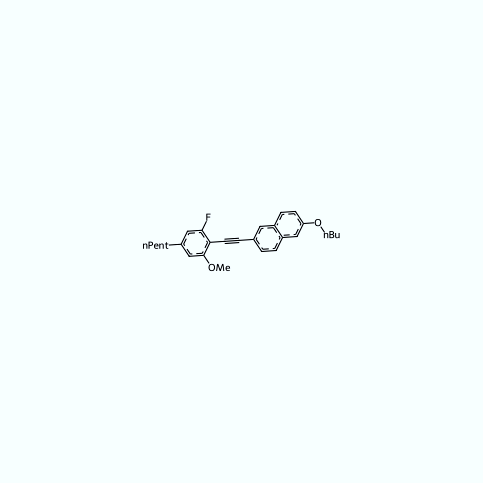 CCCCCc1cc(F)c(C#Cc2ccc3cc(OCCCC)ccc3c2)c(OC)c1